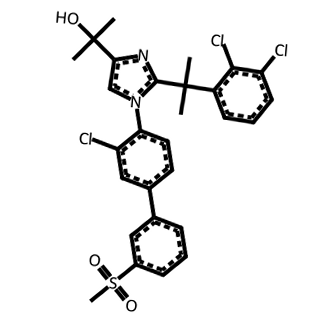 CC(C)(O)c1cn(-c2ccc(-c3cccc(S(C)(=O)=O)c3)cc2Cl)c(C(C)(C)c2cccc(Cl)c2Cl)n1